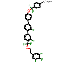 CCCCCc1ccc(C(F)(F)Oc2ccc(-c3ccc(-c4ccc(C(F)(F)OCCc5cc(F)c(F)c(F)c5)c(F)c4)c(F)c3)cc2)cc1